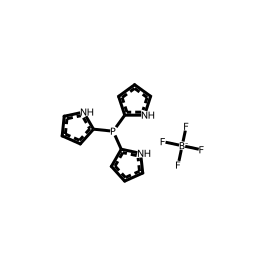 F[B-](F)(F)F.c1c[nH]c(P(c2ccc[nH]2)c2ccc[nH]2)c1